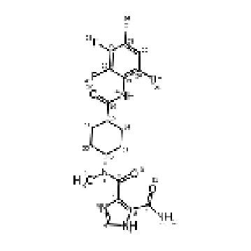 CN(C(=O)c1nc[nH]c1C(N)=O)[C@H]1CC[C@H](C(=O)Nc2c(Br)cc(F)c(F)c2F)CC1